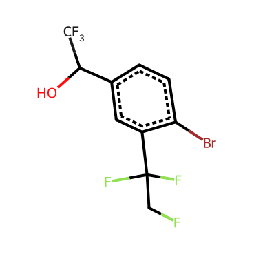 OC(c1ccc(Br)c(C(F)(F)CF)c1)C(F)(F)F